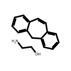 C1=Cc2ccccc2Cc2ccccc21.NCCO